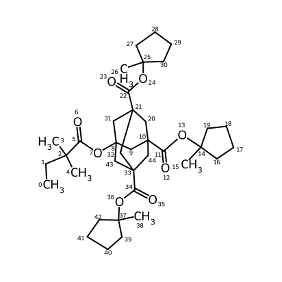 CCC(C)(C)C(=O)OC12CC3(C(=O)OC4(C)CCCC4)CC(C(=O)OC4(C)CCCC4)(C1)CC(C(=O)OC1(C)CCCC1)(C2)C3